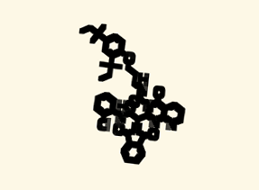 CCC(C)(C)c1ccc(OCCCNC(=O)n2c(C(C(=O)Nc3ccccc3Cl)N3C(=O)c4ccccc4C3=O)nc3ncccc3c2=O)c(C(C)(C)CC)c1